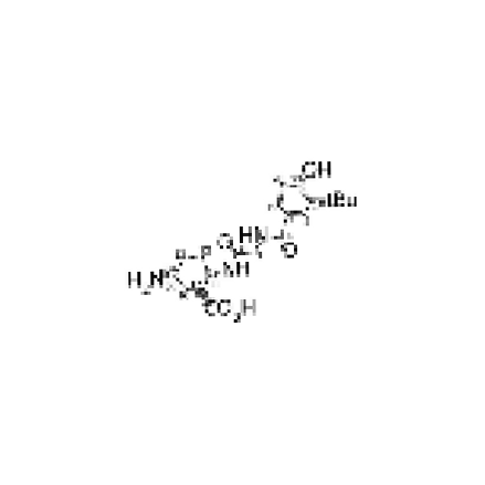 CC(C)(C)c1cc(C(=O)NCC(=O)N[C@H]2CC[C@@H](N)C[C@H]2C(=O)O)ccc1O